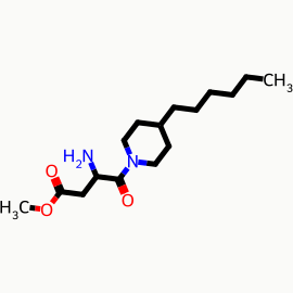 CCCCCCC1CCN(C(=O)C(N)CC(=O)OC)CC1